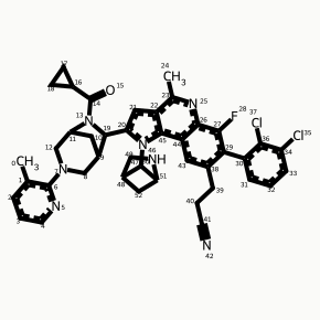 Cc1cccnc1N1CC2CC(C1)N(C(=O)C1CC1)C2c1cc2c(C)nc3c(F)c(-c4cccc(Cl)c4Cl)c(CCC#N)cc3c2n1C1C2CNC1C2